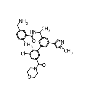 Cc1ccc(CN)cc1C(=O)NC(C)c1cc(-c2cc(Cl)cc(C(=O)N3CCOCC3)c2)cc(-c2cnn(C)c2)c1